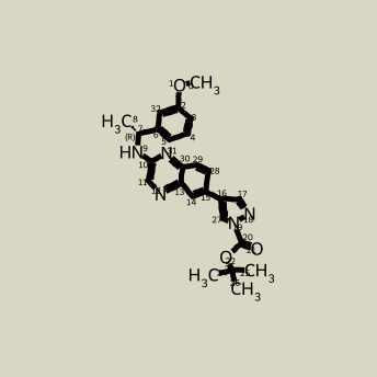 COc1cccc([C@@H](C)Nc2cnc3cc(-c4cnn(C(=O)OC(C)(C)C)c4)ccc3n2)c1